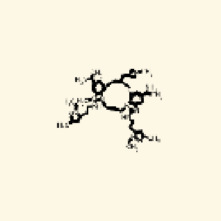 C=Nc1cc(C(=C)N)cc2c1N(CNCCc1cc(C)nn1CC)C/C=C/Cn1c(NCCc3cc(C)nn3CC)nc3cc(C(=C)N)cc(c31)CCC(CC1CN(C)C1)CC2